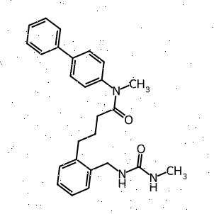 CNC(=O)NCc1ccccc1CCCC(=O)N(C)c1ccc(-c2ccccc2)cc1